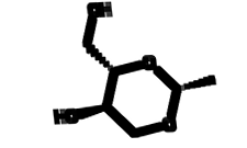 C[C@@H]1OC[C@@H](O)[C@H](CO)O1